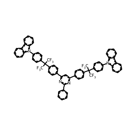 FC(F)(F)C(c1ccc(-c2cc(-c3ccc(C(c4ccc(-n5c6ccccc6c6ccccc65)cc4)(C(F)(F)F)C(F)(F)F)cc3)nc(-c3ccccc3)n2)cc1)(c1ccc(-n2c3ccccc3c3ccccc32)cc1)C(F)(F)F